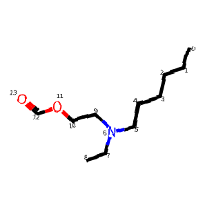 CCCCCCN(CC)CCOC=O